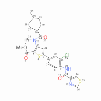 COC(=O)c1sc(-c2ccc(NC(=O)c3cscn3)c(Cl)c2)cc1N(C(=O)C1CCC(C)CC1)C(C)C